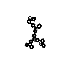 c1ccc(N(c2ccc(-c3ccc4c(c3)c3cc(-c5cccc6c5oc5ccccc56)ccc3n4-c3ccc4c5ccccc5c5ccccc5c4c3)cc2)c2ccc(-c3cccc4oc5ccccc5c34)cc2)cc1